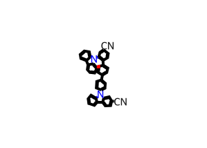 N#Cc1ccc(-c2ccc(-c3ccc(-n4c5ccccc5c5ccc(C#N)cc54)cc3)cc2)c(-n2c3ccccc3c3ccccc32)c1